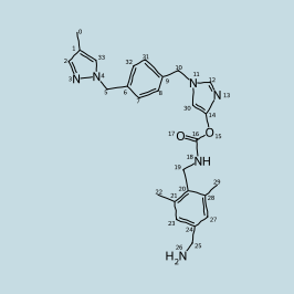 Cc1cnn(Cc2ccc(Cn3cnc(OC(=O)NCc4c(C)cc(CN)cc4C)c3)cc2)c1